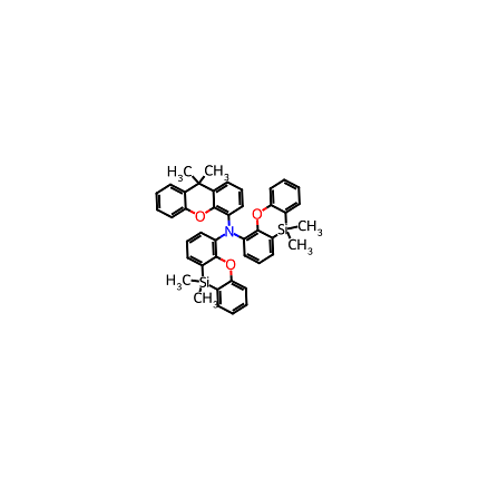 CC1(C)c2ccccc2Oc2c(N(c3cccc4c3Oc3ccccc3[Si]4(C)C)c3cccc4c3Oc3ccccc3[Si]4(C)C)cccc21